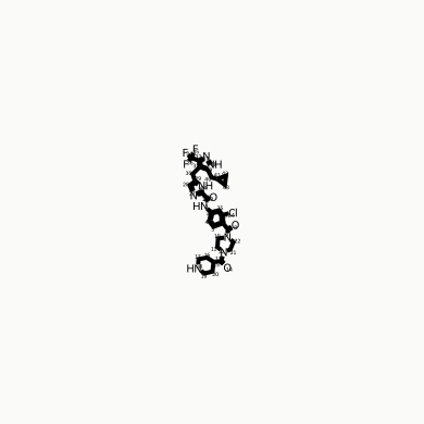 O=C(Nc1ccc(C(=O)N2CCN(C(=O)C3CCNCC3)CC2)c(Cl)c1)c1ncc(Cc2c(C(F)(F)F)n[nH]c2CC2CC2)[nH]1